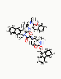 CN(C)C(=O)[C@@H](Cc1ccccc1)N(C)C(=O)[C@@H](Cc1ccc2ccccc2c1)N(C)C(=O)/C=C/CC(C)(C)NC(=O)OCC1c2ccccc2-c2ccccc21